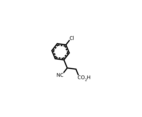 N#CC(CC(=O)O)c1cccc(Cl)c1